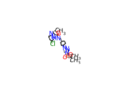 CCc1nc2ccc(Cl)cn2c1C(=O)NCc1ccc(N2CCN(S(=O)(=O)CC(C)C)C=N2)cc1